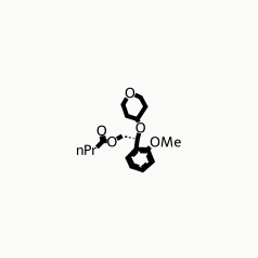 CCCC(=O)OC[C@H](OC1CCOCC1)c1ccccc1OC